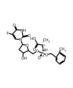 Cc1ccccc1CO[P@](=O)(N[C@@H](C)C(=O)O)OCC1OC(n2cc(F)c(=O)[nH]c2=O)CC1O